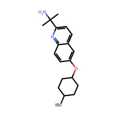 CC(C)(N)c1ccc2cc(OC3CCC(C(C)(C)C)CC3)ccc2n1